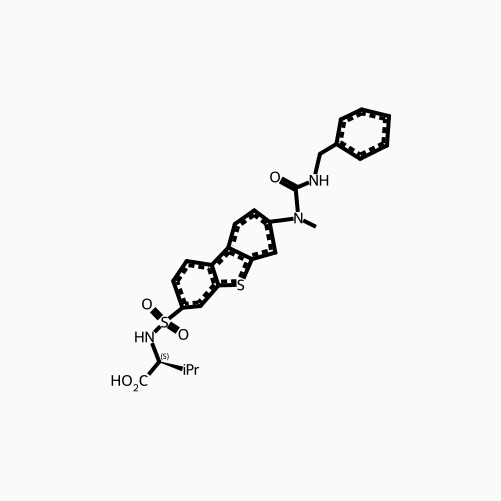 CC(C)[C@H](NS(=O)(=O)c1ccc2c(c1)sc1cc(N(C)C(=O)NCc3ccccc3)ccc12)C(=O)O